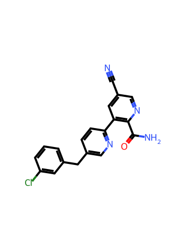 N#Cc1cnc(C(N)=O)c(-c2ccc(Cc3cccc(Cl)c3)cn2)c1